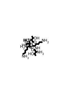 CC(O)C(N)C(=O)NC(CCCCN)C(=O)N(C(=O)C(N)C(C)O)C(CO)(C(=O)O)C(=O)C(N)CCCCN